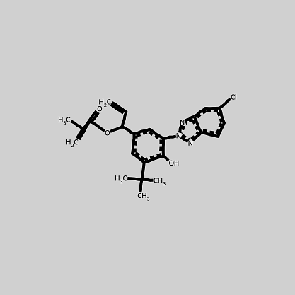 C=CC(OC(=O)C(=C)C)c1cc(-n2nc3ccc(Cl)cc3n2)c(O)c(C(C)(C)C)c1